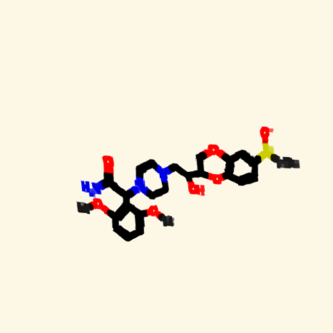 CCCC[S+]([O-])c1ccc2c(c1)OCC(C(O)CN1CCN(C(C(N)=O)c3c(OCC)cccc3OCC)CC1)O2